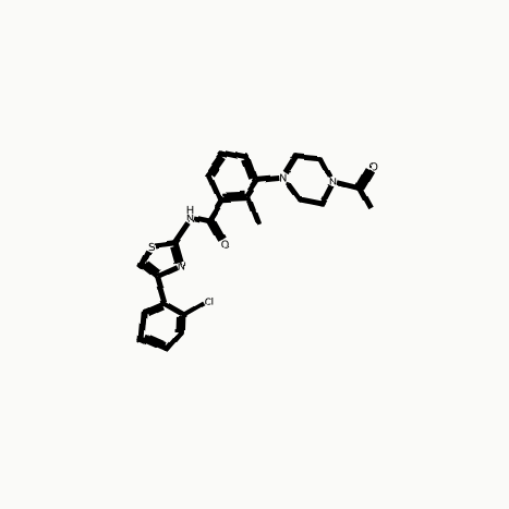 CC(=O)N1CCN(c2cccc(C(=O)Nc3nc(-c4ccccc4Cl)cs3)c2C)CC1